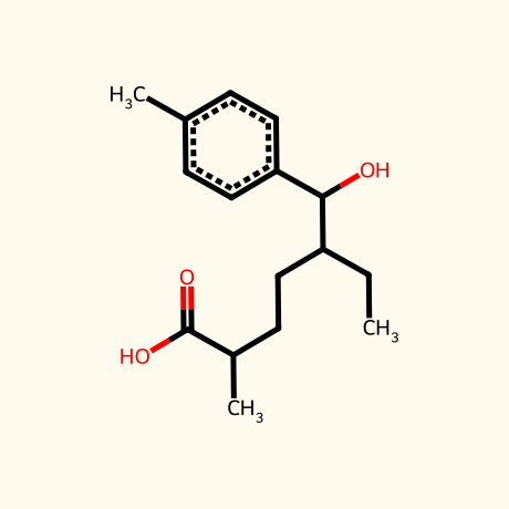 CCC(CCC(C)C(=O)O)C(O)c1ccc(C)cc1